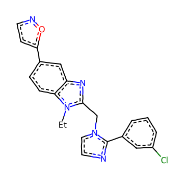 CCn1c(Cn2ccnc2-c2cccc(Cl)c2)nc2cc(-c3ccno3)ccc21